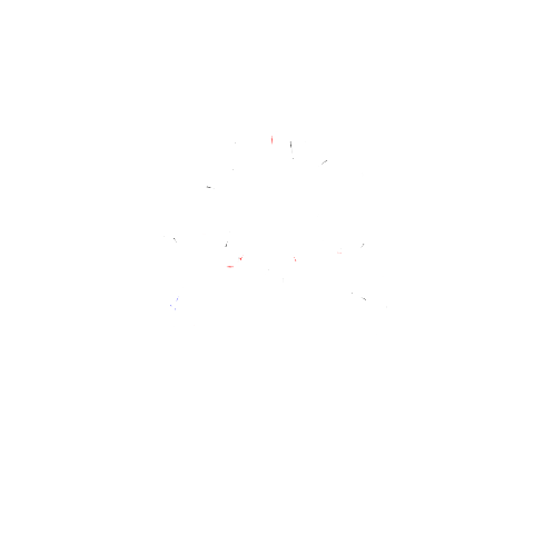 CC[C@H]1OC(=O)[C@H](C)[C@@H](O[C@H]2C[C@@](C)(OC)[C@@H](O)[C@H](C)O2)[C@H](C)[C@@H](O[C@@H]2O[C@H](C)C[C@H](N(C)C)[C@H]2OC(=O)CCC(=O)O)[C@](C)(O)C[C@@H](C)C(=O)[C@H](C)[C@@H](O)[C@]1(C)O